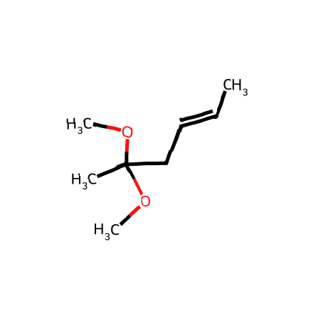 CC=CCC(C)(OC)OC